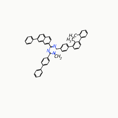 C=N/C(=N\C(=N/Cc1ccc(-c2cccc(-c3ccccc3C)c2C)cc1)c1ccc2ccc(-c3ccccc3)cc2c1)c1ccc(-c2ccccc2)cc1